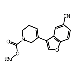 CC(C)(C)OC(=O)N1CCC=C(c2coc3ccc(C#N)cc23)C1